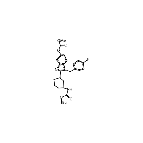 COC(=O)Oc1ccc2c(c1)nc(N1CCCC(NC(=O)OC(C)(C)C)C1)n2Cc1ccc(F)cc1